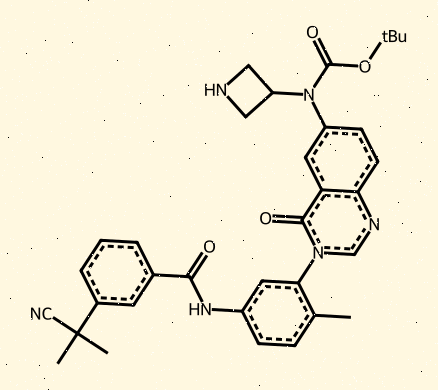 Cc1ccc(NC(=O)c2cccc(C(C)(C)C#N)c2)cc1-n1cnc2ccc(N(C(=O)OC(C)(C)C)C3CNC3)cc2c1=O